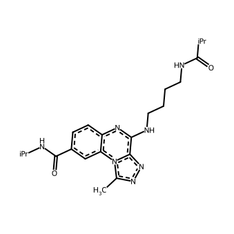 Cc1nnc2c(NCCCCNC(=O)C(C)C)nc3ccc(C(=O)NC(C)C)cc3n12